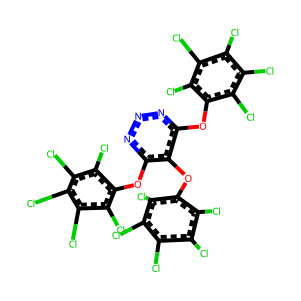 Clc1c(Cl)c(Cl)c(Oc2nnnc(Oc3c(Cl)c(Cl)c(Cl)c(Cl)c3Cl)c2Oc2c(Cl)c(Cl)c(Cl)c(Cl)c2Cl)c(Cl)c1Cl